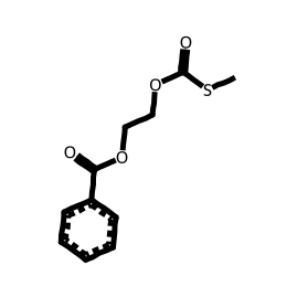 CSC(=O)OCCOC(=O)c1ccccc1